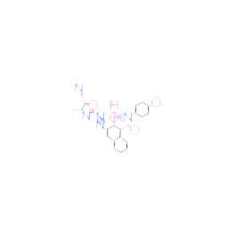 COc1ccc(NC(=O)c2c(O)c(/N=N/c3nc(C)c(C#N)o3)cc3ccccc23)cc1